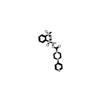 CS(=O)(=O)c1ccccc1S(=O)(=O)NOC(=O)N1CCN(c2ccncc2)CC1